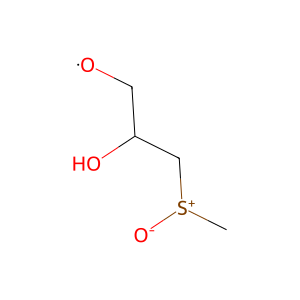 C[S+]([O-])CC(O)C[O]